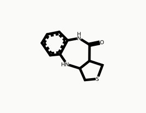 O=C1Nc2ccccc2NC2CSCC12